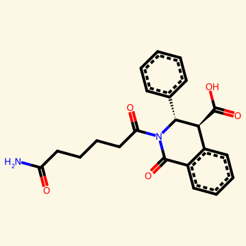 NC(=O)CCCCC(=O)N1C(=O)c2ccccc2[C@H](C(=O)O)[C@H]1c1ccccc1